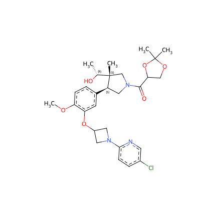 COc1ccc([C@@H]2CN(C(=O)C3COC(C)(C)O3)C[C@@]2(C)[C@@H](C)O)cc1OC1CN(c2ccc(Cl)cn2)C1